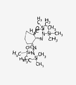 C[Si](C)(C)N(N=C1CCCC(=O)C1=NN([Si](C)(C)C)[Si](C)(C)C)[Si](C)(C)C